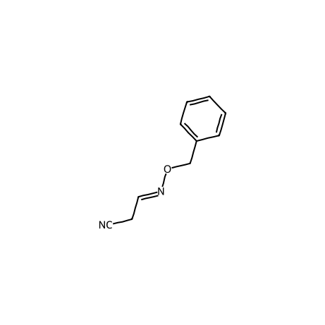 N#CCC=NOCc1ccccc1